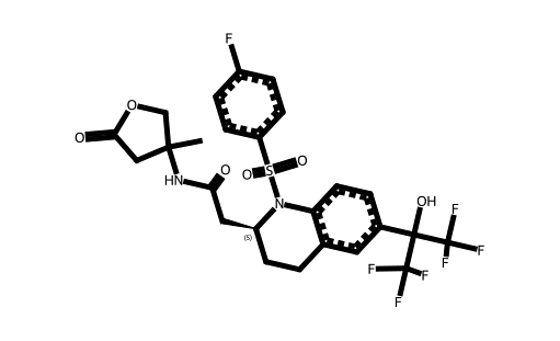 CC1(NC(=O)C[C@@H]2CCc3cc(C(O)(C(F)(F)F)C(F)(F)F)ccc3N2S(=O)(=O)c2ccc(F)cc2)COC(=O)C1